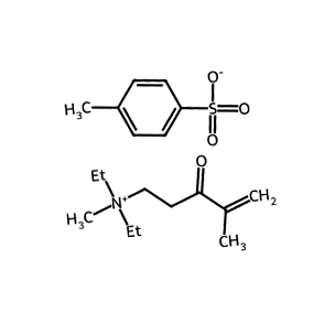 C=C(C)C(=O)CC[N+](C)(CC)CC.Cc1ccc(S(=O)(=O)[O-])cc1